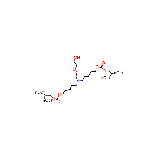 CCCCCCCCC(CCCCCCCC)COC(=O)OCCCCCN(CCCCCOC(=O)OCC(CCCCCCCC)CCCCCCCC)CCOCCO